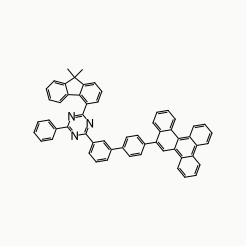 CC1(C)c2ccccc2-c2c(-c3nc(-c4ccccc4)nc(-c4cccc(-c5ccc(-c6cc7c8ccccc8c8ccccc8c7c7ccccc67)cc5)c4)n3)cccc21